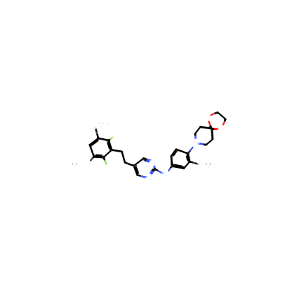 COc1cc(Nc2ncc(CCc3c(F)c(OC)cc(OC)c3F)cn2)ccc1N1CCC2(CC1)OCCO2